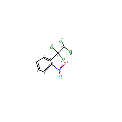 O=[N+]([O-])c1ccccc1C(Cl)(Cl)C(Cl)Cl